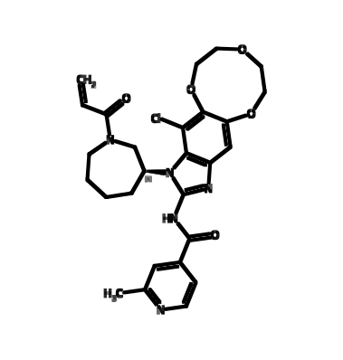 C=CC(=O)N1CCCC[C@H](n2c(NC(=O)c3ccnc(C)c3)nc3cc4c(c(Cl)c32)OCCOCCO4)C1